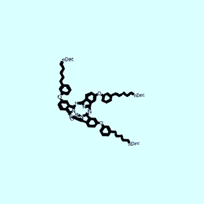 CCCCCCCCCCCCCCCc1cccc(Oc2ccc3c(c2)C2=NC/3=N\c3c4cc(Oc5cccc(CCCCCCCCCCCCCCC)c5)ccc4c4n3B(Cl)n3c(c5ccc(Oc6cccc(CCCCCCCCCCCCCCC)c6)cc5/c3=N/2)=N4)c1